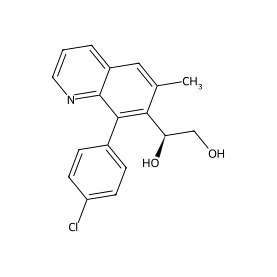 Cc1cc2cccnc2c(-c2ccc(Cl)cc2)c1[C@H](O)CO